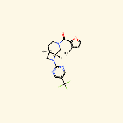 Cc1ccoc1C(=O)N1CC[C@H]2CN(c3ncc(C(F)(F)F)cn3)[C@H]2C1